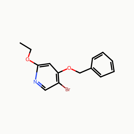 CCOc1cc(OCc2ccccc2)c(Br)cn1